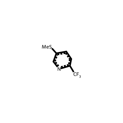 [CH2]Sc1ccc(C(F)(F)F)nc1